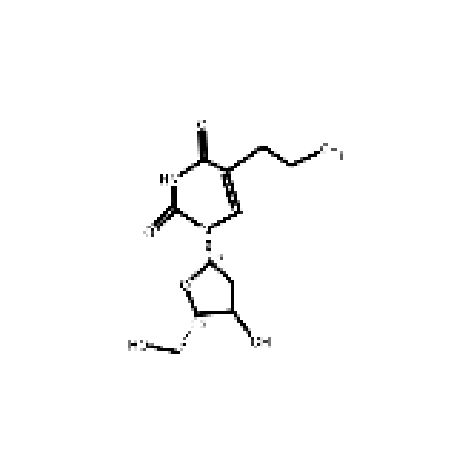 CCCc1cn([C@@H]2CC(O)[C@H](CO)O2)c(=O)[nH]c1=O